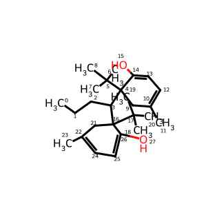 CCCC(C1(C(C)(C)C)CC(C)=CC=C1O)C1(C(C)(C)C)CC(C)=CC=C1O